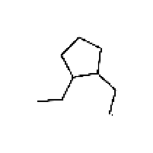 [CH2]CC1CCCC1CC